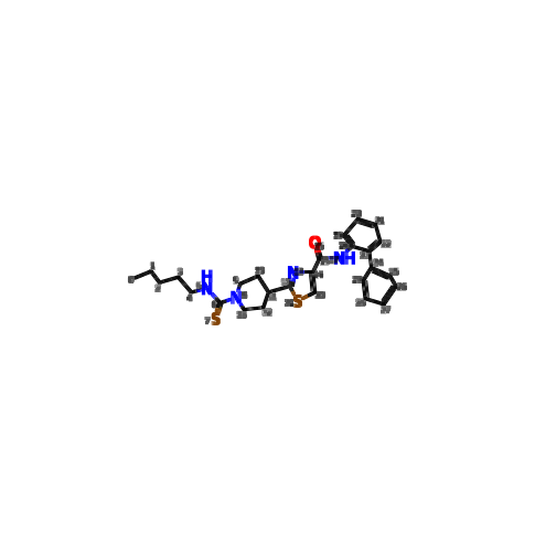 CCCCCNC(=S)N1CCC(c2nc(C(=O)Nc3ccccc3-c3ccccc3)cs2)CC1